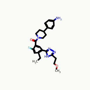 CCc1cc(F)c(C(=O)N2CCC(c3ccc(N)cc3)CC2)cc1-c1nnc(CCOC)[nH]1